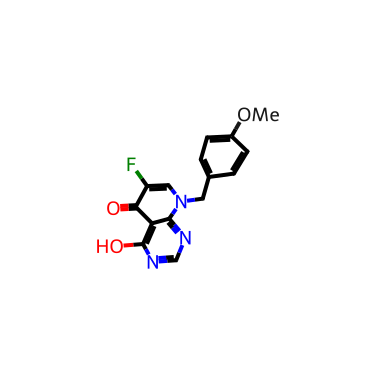 COc1ccc(Cn2cc(F)c(=O)c3c(O)ncnc32)cc1